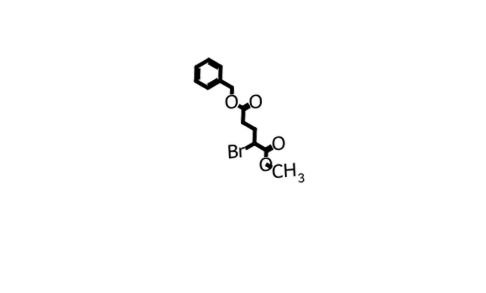 COC(=O)C(Br)CCC(=O)OCc1ccccc1